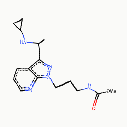 COC(=O)NCCCn1nc(C(C)NC2CC2)c2cccnc21